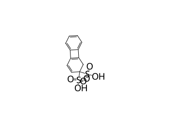 O=S(=O)(O)C1(S(=O)(=O)O)C=CC2=C(C1)c1ccccc12